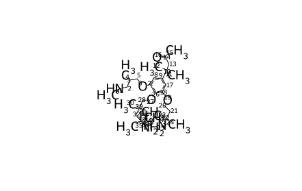 CNCC(C)COc1cc(C(C)(C)CC(C)=O)cc(OCCC(C)(C)N)c1OCC(C)(C)CC(C)(C)N